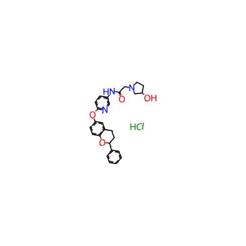 Cl.O=C(CN1CCC(O)C1)Nc1ccc(Oc2ccc3c(c2)CCC(c2ccccc2)O3)nc1